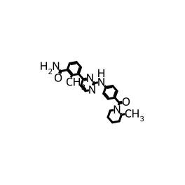 Cc1c(C(N)=O)cccc1-c1ccnc(Nc2ccc(C(=O)N3CCCCC3C)cc2)n1